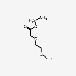 COCCOCC(=O)O[SiH2]C